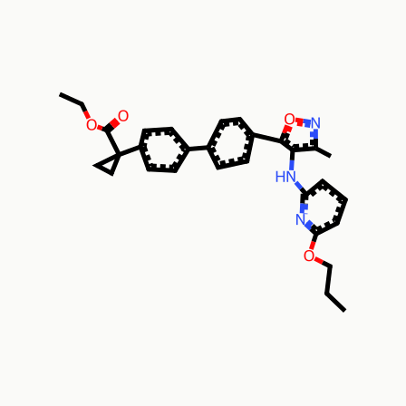 CCCOc1cccc(Nc2c(C)noc2-c2ccc(-c3ccc(C4(C(=O)OCC)CC4)cc3)cc2)n1